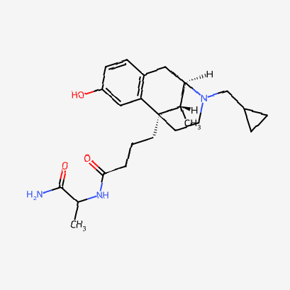 CC(NC(=O)CCC[C@]12CCN(CC3CC3)[C@H](Cc3ccc(O)cc31)[C@@H]2C)C(N)=O